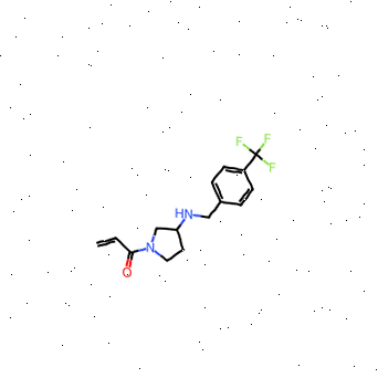 C=CC(=O)N1CCC(NCc2ccc(C(F)(F)F)cc2)C1